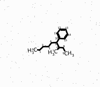 CCCCCC([C](C)CC)c1ccccc1